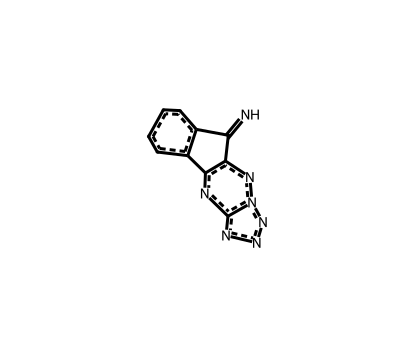 N=C1c2ccccc2-c2nc3nnnn3nc21